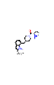 CN1CCC[C@H]1C(=O)N1CCC(Cc2cccc3cc(C(=O)O)n(C)c23)CC1